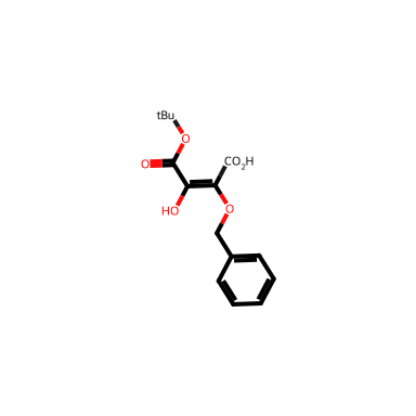 CC(C)(C)OC(=O)C(O)=C(OCc1ccccc1)C(=O)O